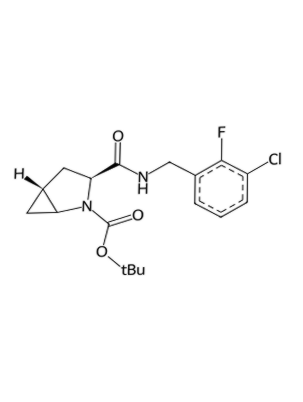 CC(C)(C)OC(=O)N1C2C[C@@H]2C[C@H]1C(=O)NCc1cccc(Cl)c1F